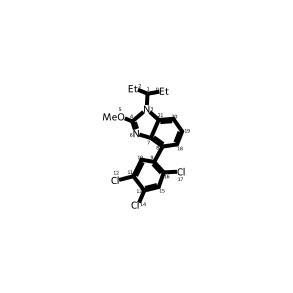 CCC(CC)n1c(OC)nc2c(-c3cc(Cl)c(Cl)cc3Cl)cccc21